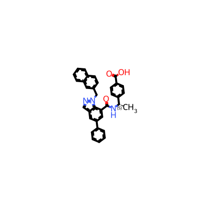 C[C@H](NC(=O)c1cc(-c2ccccc2)cc2cnn(Cc3ccc4ccccc4c3)c12)c1ccc(C(=O)O)cc1